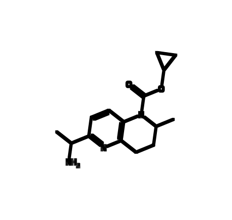 CC(N)c1ccc2c(n1)CCC(C)N2C(=O)OC1CC1